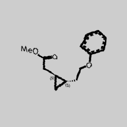 COC(=O)C[C@@H]1C[C@H]1CCOc1ccccc1